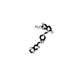 Cc1ncc2ccc(=O)n(CCN3CCC(NCc4cc5c(cn4)OCCO5)CC3)c2n1